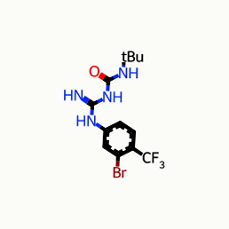 CC(C)(C)NC(=O)NC(=N)Nc1ccc(C(F)(F)F)c(Br)c1